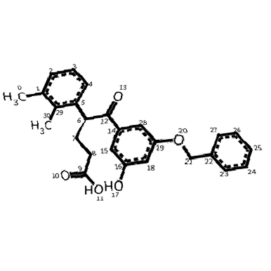 Cc1cccc([C@H](CCC(=O)O)C(=O)c2cc(O)cc(OCc3ccccc3)c2)c1C